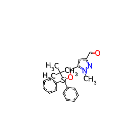 Cn1nc(C=O)cc1CO[Si](c1ccccc1)(c1ccccc1)C(C)(C)C